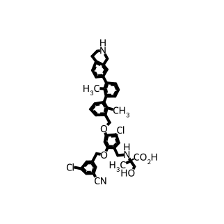 Cc1c(COc2cc(OCc3cc(Cl)cc(C#N)c3)c(CN[C@@](C)(CO)C(=O)O)cc2Cl)cccc1-c1cccc(-c2ccc3c(c2)CNCC3)c1C